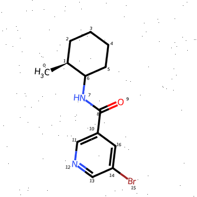 C[C@H]1CCCCC1NC(=O)c1cncc(Br)c1